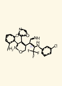 N=C/C(C1=C(c2cnco2)C(c2c(P)cccc2Cl)=NOC1)=C(\Nc1cccc(Cl)c1)C(F)(F)F